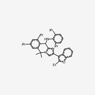 CCc1oc2ccccc2c1-c1cn2c(n1)C(Nc1c(C(C)C)cccc1C(C)C)c1c(C(C)C)cc(C(C)C)cc1C2(C)C